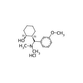 COc1cccc(C([C@@H]2CCCC[C@@H]2O)N(C)C)c1.Cl